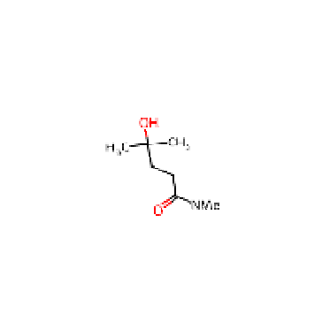 CNC(=O)CCC(C)(C)O